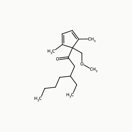 CCCCC(CC)CC(=O)C1(COC)C(C)=CC=C1C